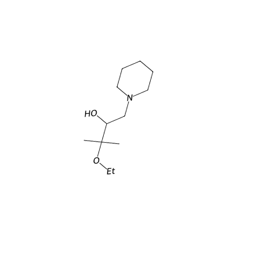 CCOC(C)(C)C(O)CN1CCCCC1